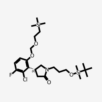 CC(C)(C)[Si](C)(C)OCCCN1C[C@@H](c2c(OCOCC[Si](C)(C)C)ccc(F)c2Cl)CC1=O